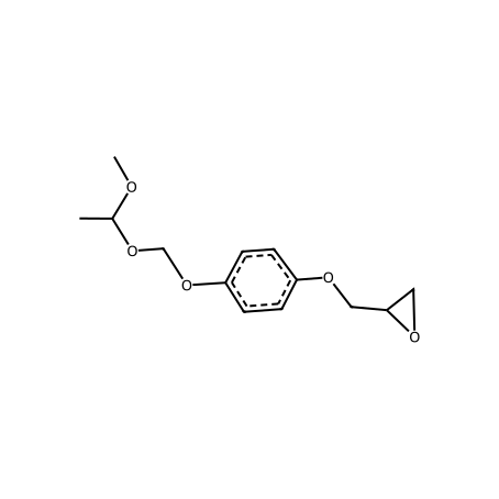 COC(C)OCOc1ccc(OCC2CO2)cc1